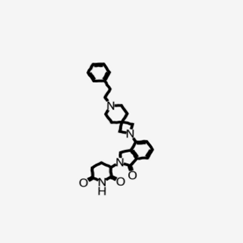 O=C1CCC(N2Cc3c(cccc3N3CC4(CCN(CCc5ccccc5)CC4)C3)C2=O)C(=O)N1